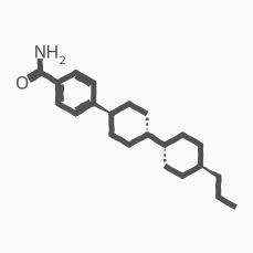 CCC[C@H]1CC[C@H]([C@H]2CC[C@H](c3ccc(C(N)=O)cc3)CC2)CC1